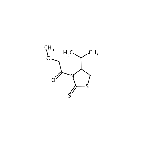 COCC(=O)N1C(=S)SCC1C(C)C